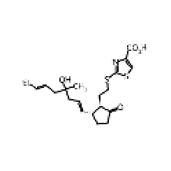 CC/C=C/CC(C)(O)C/C=C/[C@H]1CCC(=O)[C@@H]1CCSc1nc(C(=O)O)cs1